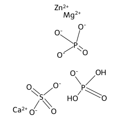 O=P([O-])(O)O.O=P([O-])([O-])[O-].O=S(=O)([O-])[O-].[Ca+2].[Mg+2].[Zn+2]